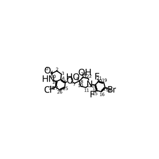 O=C1CCc2c(OC[C@]3(O)CCN(c4c(F)cc(Br)cc4F)C[C@H]3O)ccc(Cl)c2N1